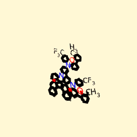 Cc1cccc2c1oc1c(N(c3ccc(C(F)(F)F)cc3)c3ccc4c(c3)c3cc(N(c5ccc(C(F)(F)F)cc5)c5cccc6c5oc5c(C)cccc56)cc5c3n4-c3ccccc3C53c4ccc5ccccc5c4-c4c3ccc3ccccc43)cccc12